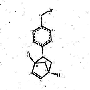 BrCc1ccc([C@H]2C[C@@H]3C=C[C@H]2C3)cc1